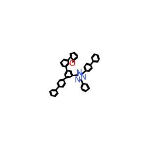 c1ccc(-c2ccc(-c3cc(-c4nc(-c5ccccc5)nc(-c5ccc(-c6ccccc6)cc5)n4)cc(-c4cccc5c4oc4ccccc45)c3)cc2)cc1